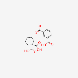 O=C(O)C1(C(=O)O)CCCCC1.O=C(O)c1cccc(C(=O)O)c1